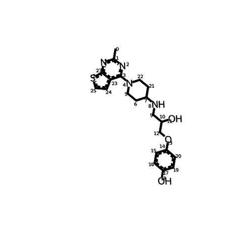 Cc1nc(N2CCC(NCC(O)COc3ccc(O)cc3)CC2)c2ccsc2n1